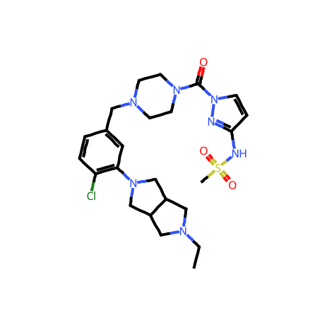 CCN1CC2CN(c3cc(CN4CCN(C(=O)n5ccc(NS(C)(=O)=O)n5)CC4)ccc3Cl)CC2C1